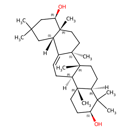 CC1(C)C[C@@H](O)[C@]2(C)CC[C@]3(C)C(=CC[C@@H]4[C@@]5(C)CC[C@H](O)C(C)(C)[C@@H]5CC[C@]43C)[C@@H]2C1